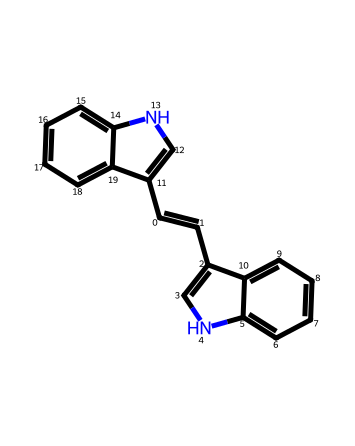 C(=Cc1c[nH]c2ccccc12)c1c[nH]c2ccccc12